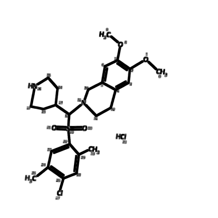 COc1cc2c(cc1OC)CN(C(C1CCNCC1)S(=O)(=O)c1cc(C)c(Cl)cc1C)CC2.Cl